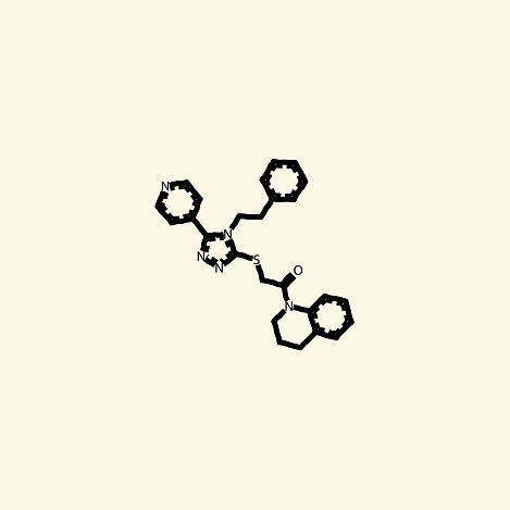 O=C(CSc1nnc(-c2ccncc2)n1CCc1ccccc1)N1CCCc2ccccc21